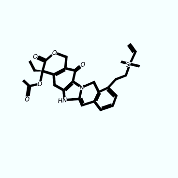 C=C[Si](C)(C)CCc1cccc2c1CN1C(=C2)NC2=C1C(=O)C1=C(C2)[C@](CC)(OC(C)=O)C(=O)OC1